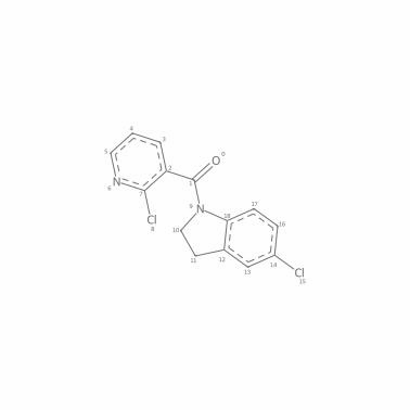 O=C(c1cccnc1Cl)N1CCc2cc(Cl)ccc21